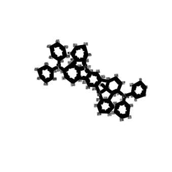 CC12C3=C(N(c4ccccc4)c4ccccc4)C=CC1c1cc4c(cc1N2c1ccccc13)c1ccc(N(c2ccccc2)c2ccccc2)c2c3ccccc3n4c12